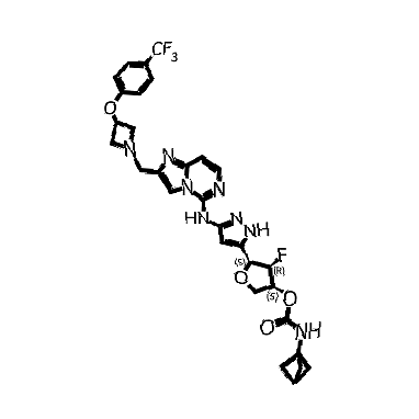 O=C(NC12CC(C1)C2)O[C@H]1CO[C@@H](c2cc(Nc3nccc4nc(CN5CC(Oc6ccc(C(F)(F)F)cc6)C5)cn34)n[nH]2)[C@H]1F